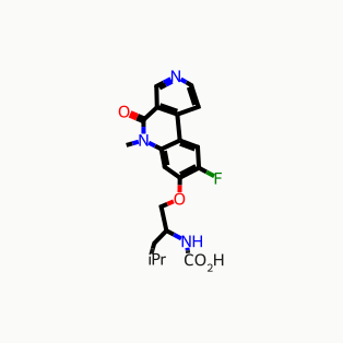 CC(C)CC(COc1cc2c(cc1F)c1ccncc1c(=O)n2C)NC(=O)O